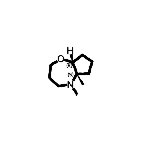 CN1CCCO[C@@H]2CCC[C@@]21C